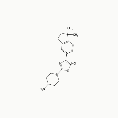 CC1(C)CCc2cc(-c3csc(N4CCC(N)CC4)n3)ccc21.Cl